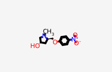 CN1C[C@@H](O)C[C@@H]1COc1ccc([N+](=O)[O-])cc1